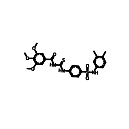 COc1cc(C(=O)NC(=S)Nc2ccc(S(=O)(=O)Nc3ccc(C)c(C)c3)cc2)cc(OC)c1OC